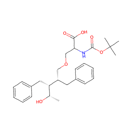 C[C@H](O)[C@H](Cc1ccccc1)[C@H](COCC(NC(=O)OC(C)(C)C)C(=O)O)Cc1ccccc1